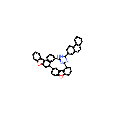 c1ccc(C2=NC(c3cccc4oc5ccc(-c6ccc7c(c6)oc6ccccc67)cc5c34)=NC(c3ccc4c(ccc5ccccc54)c3)N2)cc1